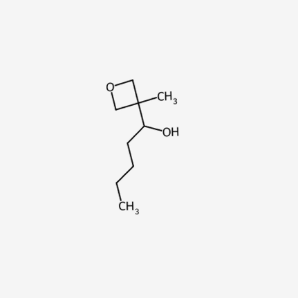 CCCCC(O)C1(C)COC1